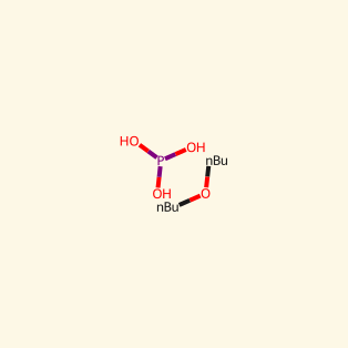 CCCCOCCCC.OP(O)O